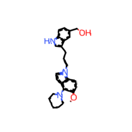 COc1ccc2c(ccn2CCCc2c[nH]c3ccc(CO)cc23)c1N1CCCCC1